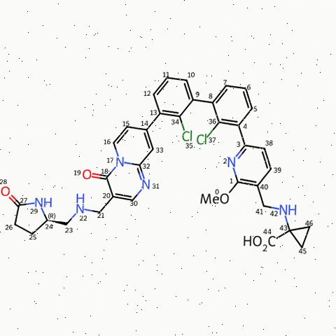 COc1nc(-c2cccc(-c3cccc(-c4ccn5c(=O)c(CNC[C@H]6CCC(=O)N6)cnc5c4)c3Cl)c2Cl)ccc1CNC1(C(=O)O)CC1